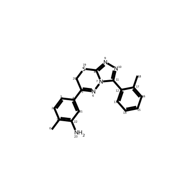 Cc1ccc(C2=Nn3c(nnc3-c3ccccc3C)SC2)cc1N